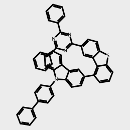 c1ccc(-c2ccc(-n3c4ccccc4c4cc(-c5cccc6sc7ccc(-c8nc(-c9ccccc9)nc(-c9ccccc9)n8)cc7c56)ccc43)cc2)cc1